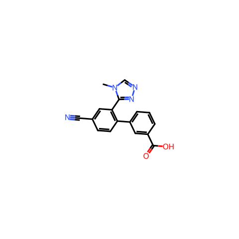 Cn1cnnc1-c1cc(C#N)ccc1-c1cccc(C(=O)O)c1